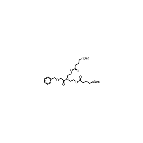 CCCCCCCCCCCCCC(=O)OCCN(CCOC(=O)CCCCCCCCCCCCC)C(=O)COCc1ccccc1